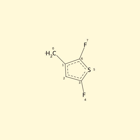 [CH2]c1cc(F)sc1F